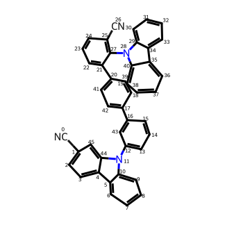 N#Cc1ccc2c3ccccc3n(-c3cccc(-c4ccc(-c5cccc(C#N)c5-n5c6ccccc6c6ccccc65)cc4)c3)c2c1